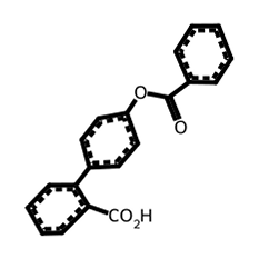 O=C(Oc1ccc(-c2ccccc2C(=O)O)cc1)c1ccccc1